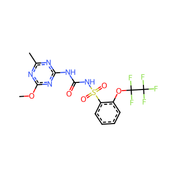 COc1nc(C)nc(NC(=O)NS(=O)(=O)c2ccccc2OC(F)(F)C(F)(F)F)n1